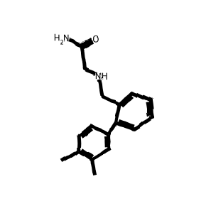 Cc1ccc(-c2ccccc2CNCC(N)=O)cc1C